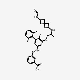 Cc1cccc(C)c1-c1nc(NSc2cccc(C(=O)O)c2)nc(OCC(C)NC2CC3(CC(NC=O)C3)C2)c1C